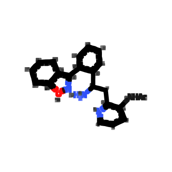 CC(=O)Nc1cccnc1CC(N)c1ccccc1-c1noc2ccccc12